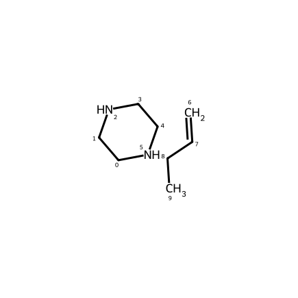 C1CNCCN1.C=CCC